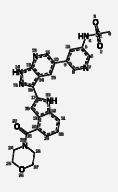 CS(=O)(=O)Nc1cncc(-c2cnc3[nH]nc(-c4cc5c(C(=O)N6CCOCC6)cccc5[nH]4)c3c2)c1